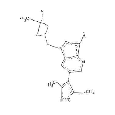 Cc1noc(C)c1-c1cnc2c(I)cn(CC3CC(C)(F)C3)c2c1